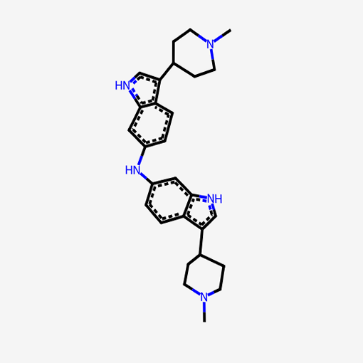 CN1CCC(c2c[nH]c3cc(Nc4ccc5c(C6CCN(C)CC6)c[nH]c5c4)ccc23)CC1